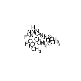 C=C(C)c1cc(C)nc2c(F)cc(-c3nc(Nc4ccc(N5CCN(C(=O)OC(C)(C)C)CC5)cn4)ncc3F)cc12